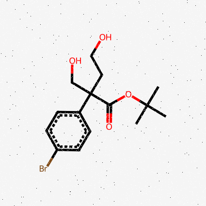 CC(C)(C)OC(=O)C(CO)(CCO)c1ccc(Br)cc1